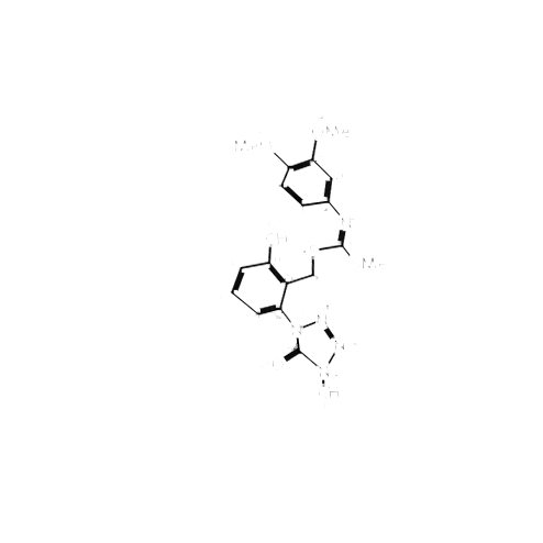 COc1ccc(/N=C(/SC)SCc2c(C)cccc2-n2nnn(C)c2=O)cc1OC